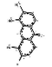 Cc1ccc2c(=O)c3ccc(F)c(O)c3oc2c1O